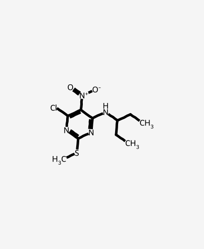 CCC(CC)Nc1nc(SC)nc(Cl)c1[N+](=O)[O-]